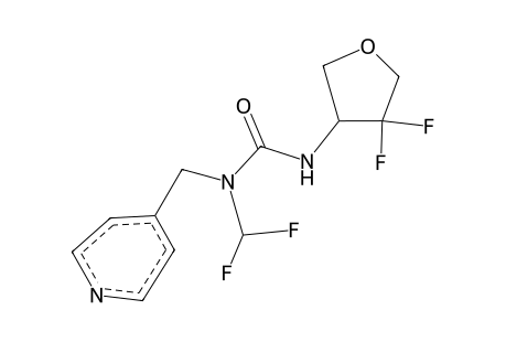 O=C(NC1COCC1(F)F)N(Cc1ccncc1)C(F)F